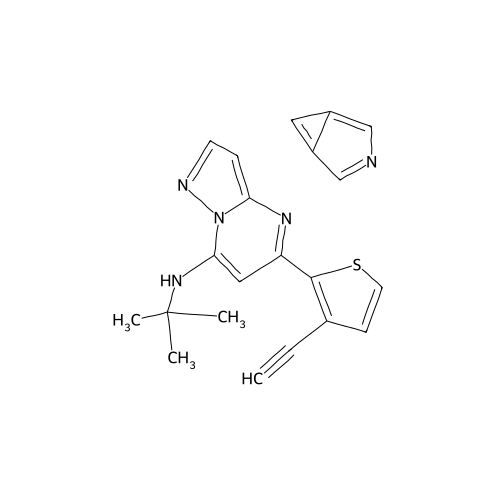 C#Cc1ccsc1-c1cc(NC(C)(C)C)n2nccc2n1.c1ncc2cc1-2